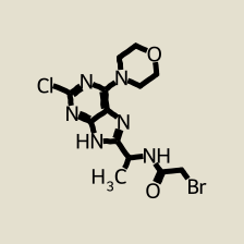 CC(NC(=O)CBr)c1nc2c(N3CCOCC3)nc(Cl)nc2[nH]1